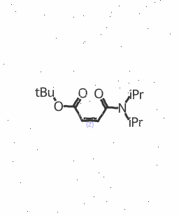 CC(C)N(C(=O)/C=C\C(=O)OC(C)(C)C)C(C)C